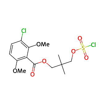 COc1ccc(Cl)c(OC)c1C(=O)OCC(C)(C)COS(=O)(=O)Cl